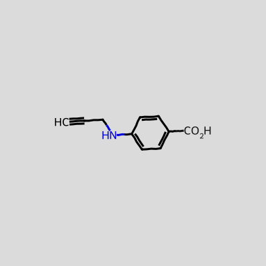 C#CCNc1ccc(C(=O)O)cc1